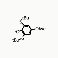 COc1cc(SC(C)(C)C)c([O])c(SC(C)(C)C)c1